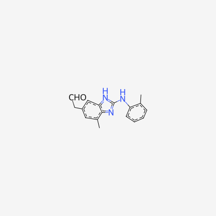 Cc1ccccc1Nc1nc2c(C)cc(CC=O)cc2[nH]1